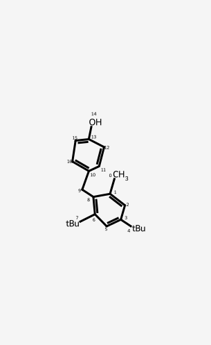 Cc1cc(C(C)(C)C)cc(C(C)(C)C)c1Cc1ccc(O)cc1